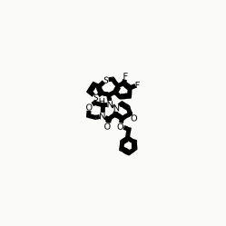 O=C1c2c(OCc3ccccc3)c(=O)ccn2N(C2c3ccc(F)c(F)c3CSc3ccsc32)[C@@H]2COCCN12